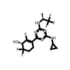 C[C@H](Nc1nc(NC2CC2)nc(C2=C(F)[C@H](O)C(F)(F)CC2)n1)C(F)(F)F